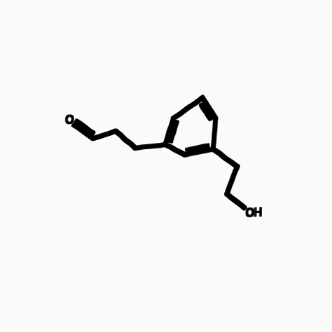 O=CCCc1cccc(CCO)c1